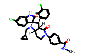 CNC(=O)c1ccc(N2CC[C@H]3[C@@H](C2=O)[C@H](c2cccc(Cl)c2F)[C@]2(C(=O)Nc4cc(Cl)ccc42)N3CC2CC2)cc1